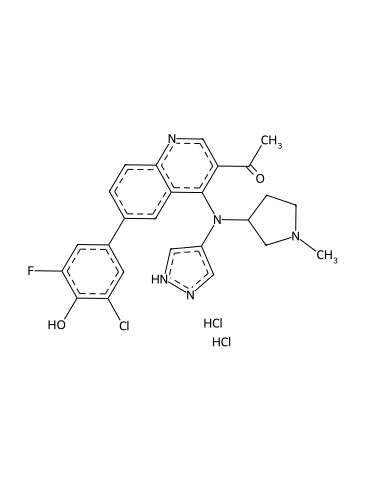 CC(=O)c1cnc2ccc(-c3cc(F)c(O)c(Cl)c3)cc2c1N(c1cn[nH]c1)C1CCN(C)C1.Cl.Cl